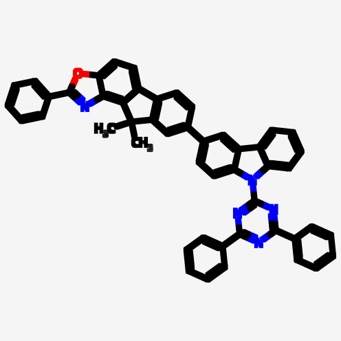 CC1(C)c2cc(-c3ccc4c(c3)c3ccccc3n4-c3nc(-c4ccccc4)nc(-c4ccccc4)n3)ccc2-c2ccc3oc(-c4ccccc4)nc3c21